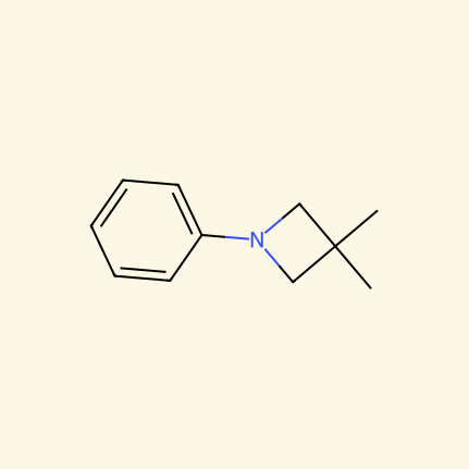 CC1(C)CN(c2ccccc2)C1